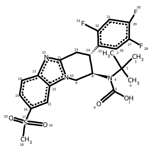 CC(C)(C)N(C(=O)O)[C@H]1Cn2c(nc3ccc(S(C)(=O)=O)cc32)C[C@@H]1c1cc(F)c(F)cc1F